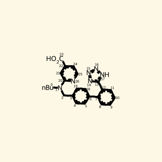 CCCCN(Cc1ccc(-c2ccccc2-c2nnn[nH]2)cc1)c1cc(C(=O)O)ccn1